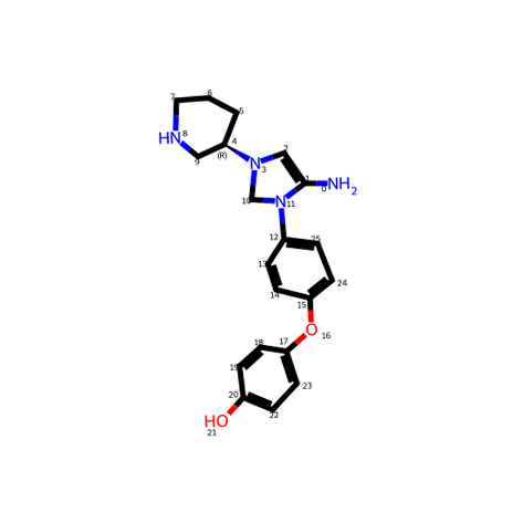 NC1=CN([C@@H]2CCCNC2)CN1c1ccc(Oc2ccc(O)cc2)cc1